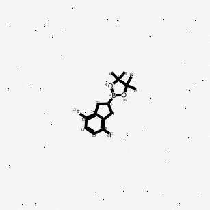 CC1(C)OB(C2Cc3c(F)ccc(F)c3C2)OC1(C)C